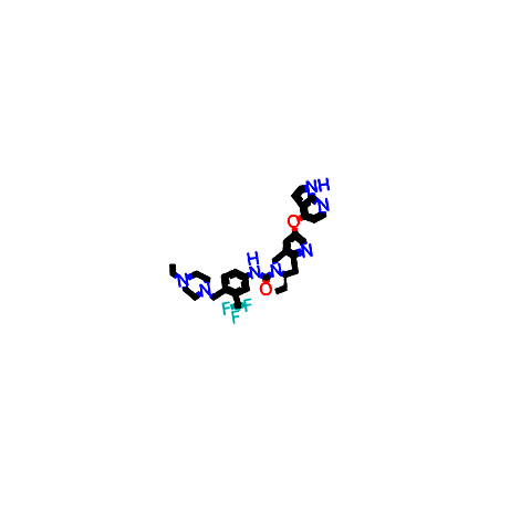 CC[C@@H]1Cc2ncc(Oc3ccnc4[nH]ccc34)cc2CN1C(=O)Nc1ccc(CN2CCN(CC)CC2)c(C(F)(F)F)c1